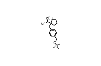 CCCCC(C#N)C1(Cc2ccc(CO[Si](C)(C)C)cc2)CCCC1